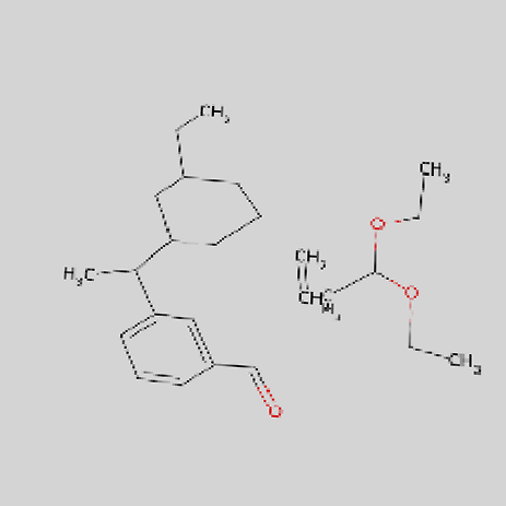 C=C.CCC1CCCC(C(C)c2cccc(C=O)c2)C1.CCOC(C)OCC